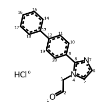 Cl.O=CCn1ccnc1-c1ccc(-c2ccccc2)cc1